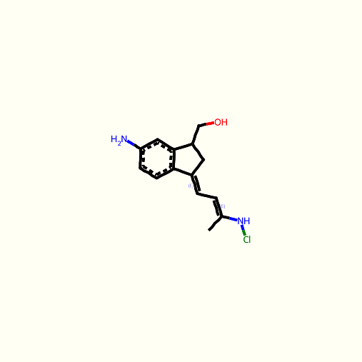 C/C(=C\C=C1/CC(CO)c2cc(N)ccc21)NCl